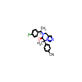 C[C@@H](c1ccc(F)cc1)N1Cc2cncn2C(C)(c2ccc(C#N)cc2)C1=O